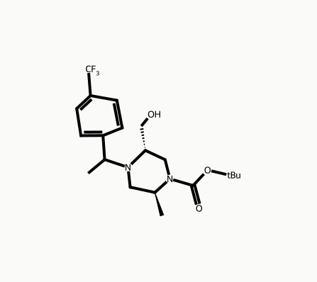 CC(c1ccc(C(F)(F)F)cc1)N1C[C@H](C)N(C(=O)OC(C)(C)C)C[C@H]1CO